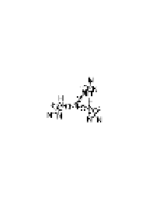 CC1(C)CC(NCCOCCN(CCOCCNC2=C(F)C(=C(C#N)C#N)CC(C)(C)C2)CCOCCNC2=C(F)C(=C(C#N)C#N)CC(C)(C)C2)=C(F)C(=C(C#N)C#N)C1